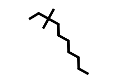 CCCCCCCC(C)(C)CC